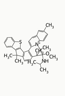 COC1(NC(C)C)C2(C)c3ccc4c(c3-c3ccc5cc(C)ccc5[n+]3C12C)-c1sc2ccccc2c1C4(C)C